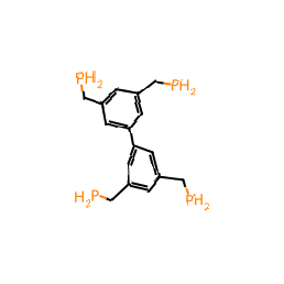 PCc1cc(CP)cc(-c2cc(CP)cc(CP)c2)c1